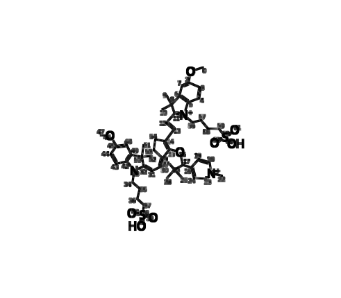 COc1ccc2c(c1)C(C)(C)C(/C=C/C1=C(OC(c3cc[n+](C)cc3)C(C)(C)C)C(=C/C=C3/N(CCCCS(=O)(=O)O)c4ccc(OC)cc4C3(C)C)/CC1)=[N+]2CCCCS(=O)(=O)O